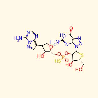 Nc1nc2c(nnn2[C@@H]2S[C@H](CO)[C@@H](O)C2OP(=O)(S)OC[C@H]2OCC(c3cnn4c(N)ncnc34)[C@@H]2O)c(=O)[nH]1